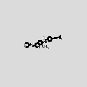 Cc1c(NC(=O)c2ccc(C#CC3CC3)cc2)ccc2cc(CNC3CCSCC3)cnc12